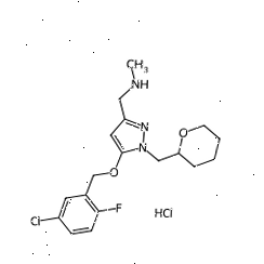 CNCc1cc(OCc2cc(Cl)ccc2F)n(CC2CCCCO2)n1.Cl